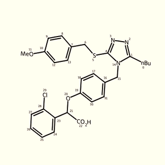 CCCCc1nnc(SCc2ccc(OC)cc2)n1Cc1ccc(OC(C(=O)O)c2ccccc2Cl)cc1